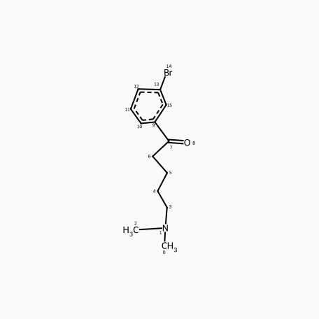 CN(C)CCCCC(=O)c1cccc(Br)c1